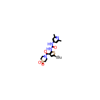 Cc1cc(NC(=O)Nc2sc(C(C)(C)C)cc2C(=O)N2CCS(=O)(=O)CC2)cc(C)n1